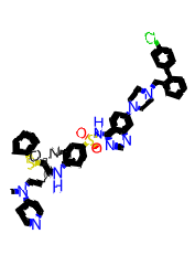 CN(CC[C@H](CSc1ccccc1)Nc1ccc(S(=O)(=O)Nc2ncnc3cc(N4CCN(Cc5ccccc5-c5ccc(Cl)cc5)CC4)ccc23)cc1[N+](=O)[O-])c1ccncc1